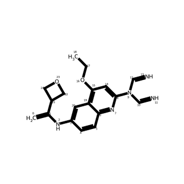 C=C(Nc1ccc2nc(N(C=N)C=N)cc(OCC)c2c1)C1COC1